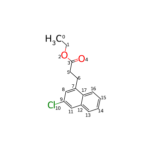 CCOC(=O)CCc1cc(Cl)cc2ccccc12